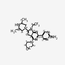 CC1CN(c2nc3c(N4CCOCC4)nc(-c4cnc(N)nc4)nc3n2CC(F)(F)F)C[C@H](C)N1